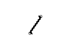 C(CCCCCCC1CO1)CCCCCC1CO1